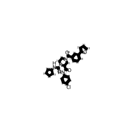 O=C(Nc1ccc(Cl)cc1)C1CN(C(=O)c2cccc(-c3ccco3)c2)CCN1C(=O)NC1CCCC1